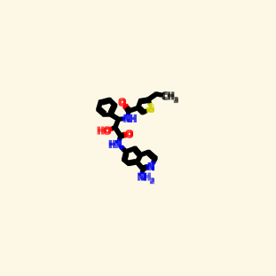 CCc1cc(C(=O)NC(c2ccccc2)C(O)C(=O)Nc2ccc3c(N)nccc3c2)cs1